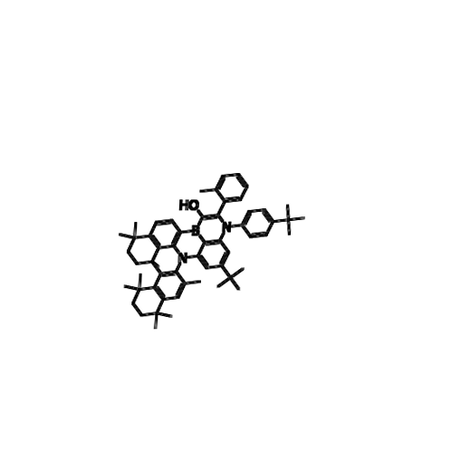 Cc1ccccc1C1=C(O)B2c3ccc4c5c3N(c3cc(C(C)(C)C)cc(c32)N1c1ccc(C(C)(C)C)cc1)c1c(C)cc2c(c1C5(C)CCC4(C)C)C(C)(C)CCC2(C)C